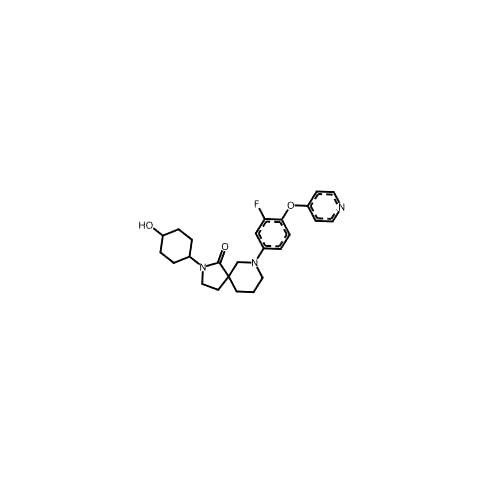 O=C1N(C2CCC(O)CC2)CCC12CCCN(c1ccc(Oc3ccncc3)c(F)c1)C2